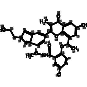 CONC(=O)c1nc(Cl)ccc1O[C@H](C)c1cc(C)cc2c(=O)c(C)c(-c3ccc4nn(CCO)cc4c3)oc12